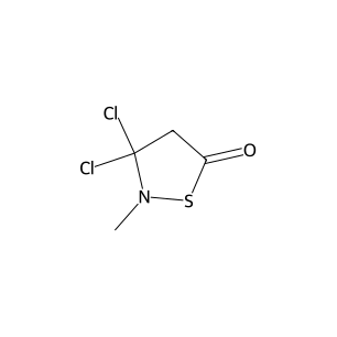 CN1SC(=O)CC1(Cl)Cl